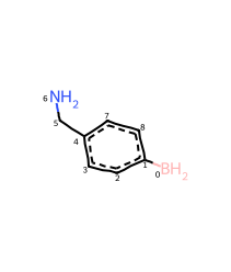 Bc1ccc(CN)cc1